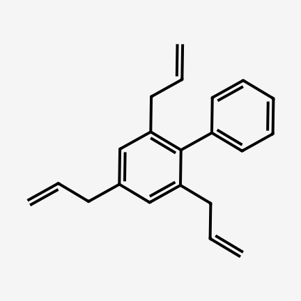 C=CCc1cc(CC=C)c(-c2ccccc2)c(CC=C)c1